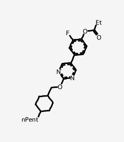 CCCCCC1CCC(COc2ncc(-c3ccc(OC(=O)CC)c(F)c3)cn2)CC1